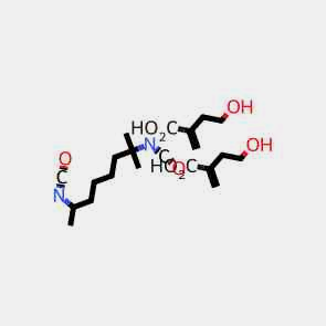 C=C(CCO)C(=O)O.C=C(CCO)C(=O)O.CC(CCCCC(C)(C)N=C=O)N=C=O